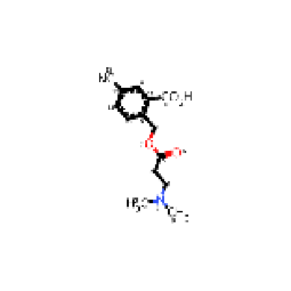 CN(C)CCC(=O)OCc1ccc(C#N)cc1C(=O)O